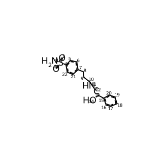 NS(=O)(=O)c1ccc(CCCNCC(O)c2ccccc2)cc1